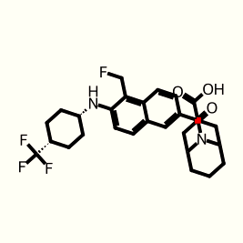 O=C(O)C1CC2CCCC(C1)N2C(=O)c1ccc2c(CF)c(N[C@H]3CC[C@@H](C(F)(F)F)CC3)ccc2c1